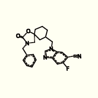 N#Cc1cc2c(cc1F)ncn2CC1CCCC2(C1)CN(Cc1ccccc1)C(=O)O2